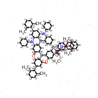 CSN1c2cc3c(cc2B2c4ccccc4N(c4ccccc4)c4cc(-c5c(C)cccc5C)cc1c42)B1c2cc4c(cc2Oc2cc(-c5c(C)cccc5C)cc(c21)O3)N(c1ccccc1)c1cc(-c2c(C)cccc2C)cc2c1B4c1ccccc1N2c1ccccc1